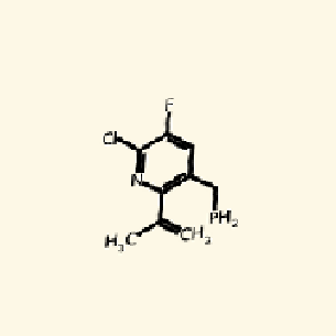 C=C(C)c1nc(Cl)c(F)cc1CP